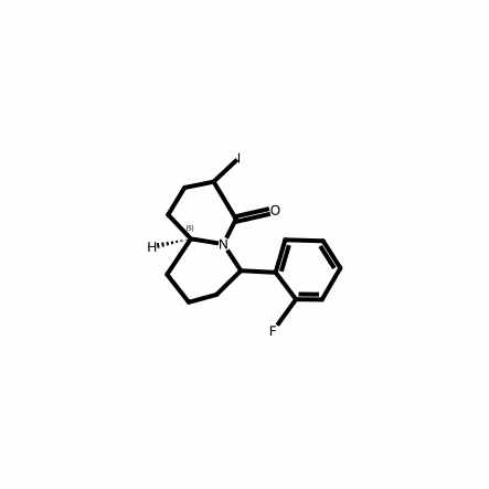 O=C1C(I)CC[C@@H]2CCCC(c3ccccc3F)N12